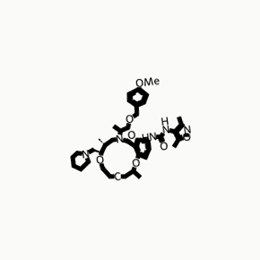 COc1ccc(COCC(C)N2C[C@@H](C)[C@H](CN3CCCCC3)OCCCCC(C)Oc3ccc(NC(=O)Nc4c(C)noc4C)cc3C2=O)cc1